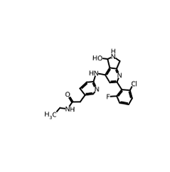 CCNC(=O)Cc1ccc(Nc2cc(-c3c(F)cccc3Cl)nc3c2C(O)NC3)nc1